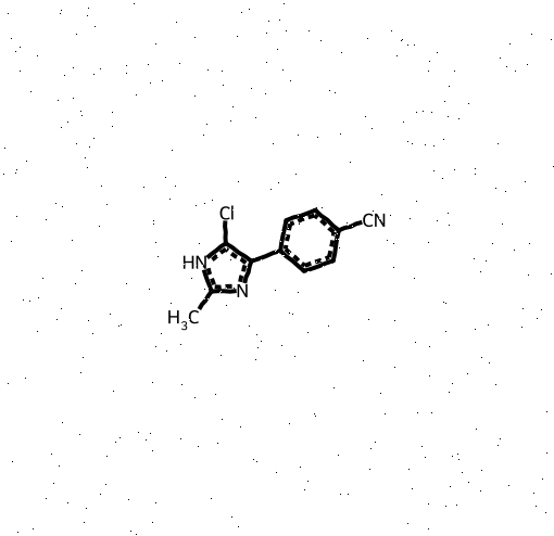 Cc1nc(-c2ccc(C#N)cc2)c(Cl)[nH]1